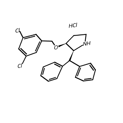 Cl.Clc1cc(Cl)cc(CO[C@H]2CCN[C@H]2C(c2ccccc2)c2ccccc2)c1